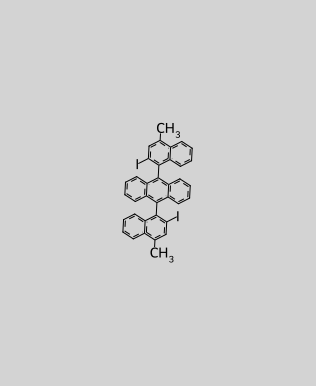 Cc1cc(I)c(-c2c3ccccc3c(-c3c(I)cc(C)c4ccccc34)c3ccccc23)c2ccccc12